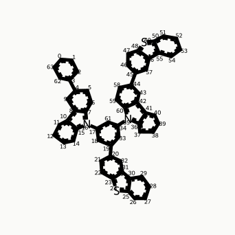 c1ccc(-c2ccc3c(c2)c2ccccc2n3-c2cc(-c3ccc4sc5ccccc5c4c3)cc(-n3c4ccccc4c4cc(-c5ccc6sc7ccccc7c6c5)ccc43)c2)cc1